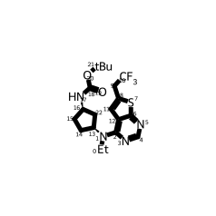 CCN(c1ncnc2sc(CC(F)(F)F)cc12)[C@@H]1CC[C@H](NC(=O)OC(C)(C)C)C1